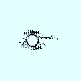 CC[C@H]1OC(=O)[C@H](C)[C@@H](O)[C@H](C)[C@@H](O)[C@](C)(O)C[C@@H](C)CN(CCCCCCN)[C@H](C)[C@@H](O)[C@]1(C)O